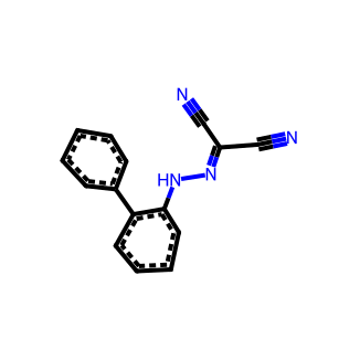 N#CC(C#N)=NNc1ccccc1-c1ccccc1